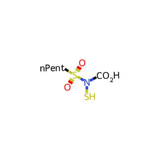 CCCCCS(=O)(=O)N(S)C(=O)O